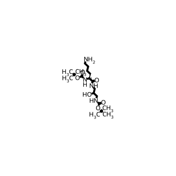 CC(C)(C)OC(=O)NCC(O)CNC(=O)[C@H](CCCCN)NC(=O)OC(C)(C)C